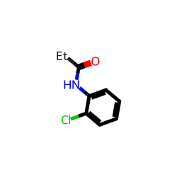 [CH2]CC(=O)Nc1ccccc1Cl